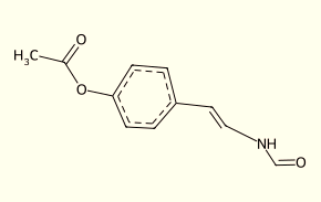 CC(=O)Oc1ccc(C=CNC=O)cc1